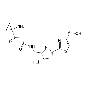 Cl.NC1(C(=O)CC(=O)NCc2nc(-c3nc(C(=O)O)cs3)cs2)CC1